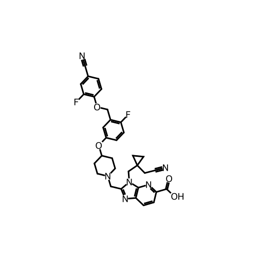 N#CCC1(Cn2c(CN3CCC(Oc4ccc(F)c(COc5ccc(C#N)cc5F)c4)CC3)nc3ccc(C(=O)O)nc32)CC1